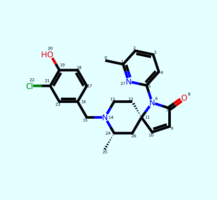 Cc1cccc(N2C(=O)C=C[C@]23CCN(Cc2ccc(O)c(Cl)c2)[C@@H](C)C3)n1